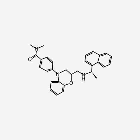 C[C@@H](NCC1CN(c2ccc(C(=O)N(C)C)cc2)c2ccccc2O1)c1cccc2ccccc12